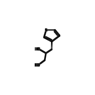 OCC(O)Cc1ccsc1